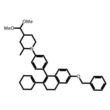 COC(OC)C1CCN(c2ccc(C3=C(C4=CCCCC4)CCc4cc(OCc5ccccc5)ccc43)cc2)C(C)C1